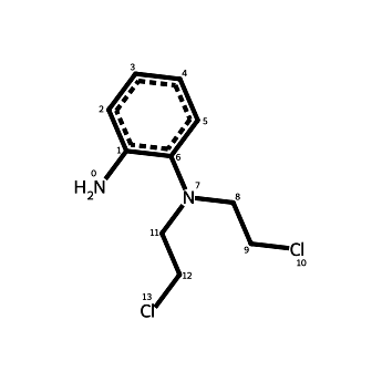 Nc1ccccc1N(CCCl)CCCl